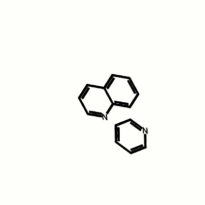 c1ccc2ncccc2c1.c1ccncc1